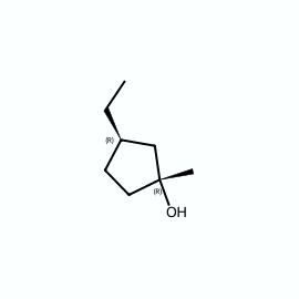 CC[C@@H]1CC[C@@](C)(O)C1